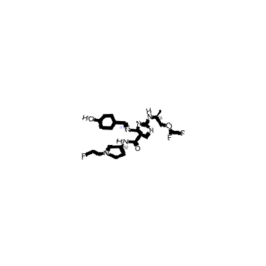 C[C@@H](COC(F)F)Nc1ncc(C(=O)N[C@H]2CCN(CCF)C2)c(/N=C/C2CCC(O)CC2)n1